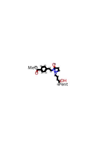 CCCC(C)C(O)CCCN1CCC(=O)N1CCc1ccc(C(=O)OC)cc1